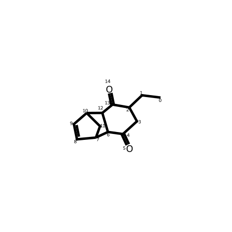 CCC1CC(=O)C2C3C=CC(C3)C2C1=O